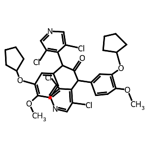 COc1ccc(C(C(=O)C(c2ccc(OC)c(OC3CCCC3)c2)c2c(Cl)cncc2Cl)c2c(Cl)cncc2Cl)cc1OC1CCCC1